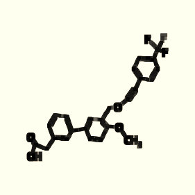 COc1ccc(-c2cccc(CC(=O)O)c2)cc1COC#Cc1ccc(C(F)(F)F)cc1